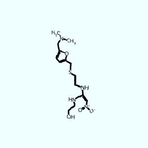 CN(C)Cc1ccc(CSCCNC(=C[N+](=O)[O-])NCCO)o1